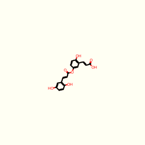 O=C(O)C=Cc1cc(OC(=O)C=Cc2cc(O)ccc2O)ccc1O